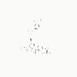 NC(=O)c1cc(C#CCOC(=O)c2cccc(O)c2)cc(-c2ccc(S(N)(=O)=O)cc2)c1N